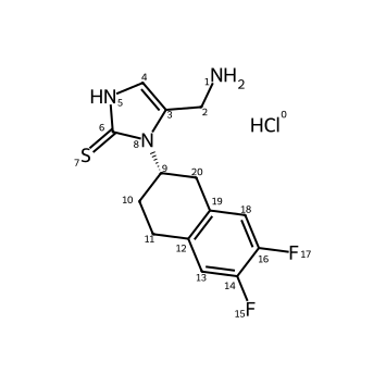 Cl.NCc1c[nH]c(=S)n1[C@H]1CCc2cc(F)c(F)cc2C1